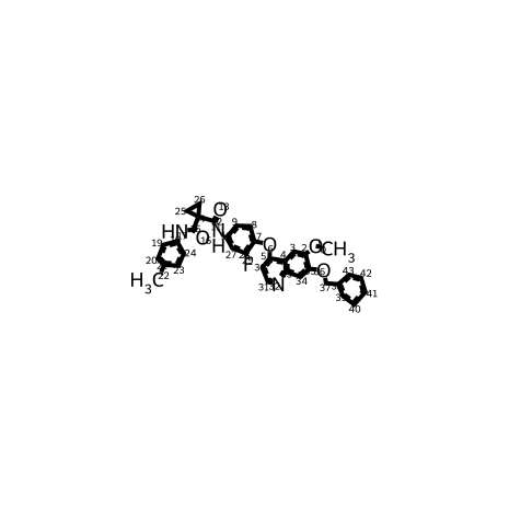 COc1cc2c(Oc3ccc(NC(=O)C4(C(=O)Nc5ccc(C)cc5)CC4)cc3F)ccnc2cc1OCc1ccccc1